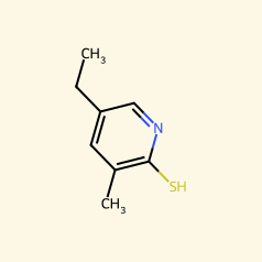 CCc1cnc(S)c(C)c1